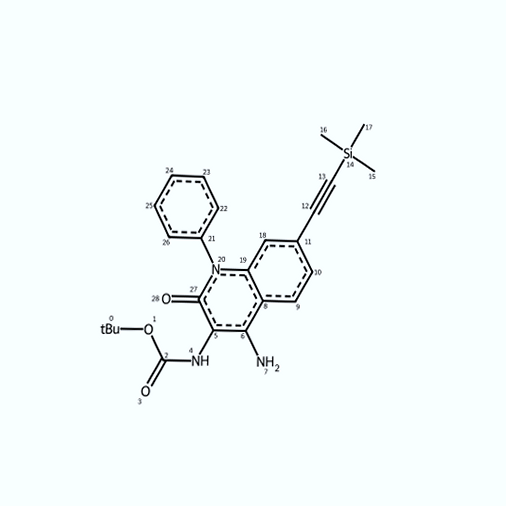 CC(C)(C)OC(=O)Nc1c(N)c2ccc(C#C[Si](C)(C)C)cc2n(-c2ccccc2)c1=O